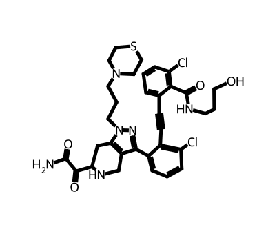 NC(=O)C(=O)C1Cc2c(c(-c3cccc(Cl)c3C#Cc3cccc(Cl)c3C(=O)NCCCO)nn2CCCN2CCSCC2)CN1